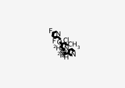 [2H]c1c(OCc2ncc(F)cc2F)c(Cl)c(C)n(-c2ccncc2C([2H])([2H])[2H])c1=O